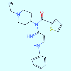 CC(C)CN1CCC(N(C(=N)/C=C\Nc2ccccc2)C(=O)c2cccs2)CC1